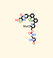 COc1nc(-c2cccc(-c3cccc(-c4ccn5c(=O)c(CO)c(Cl)nc5c4)c3Cl)c2Cl)ccc1COC(=O)NCC1CCC(=O)N1